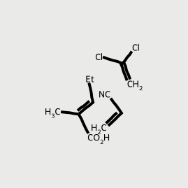 C=C(Cl)Cl.C=CC#N.CCC=C(C)C(=O)O